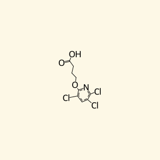 O=C(O)CCCOc1nc(Cl)c(Cl)cc1Cl